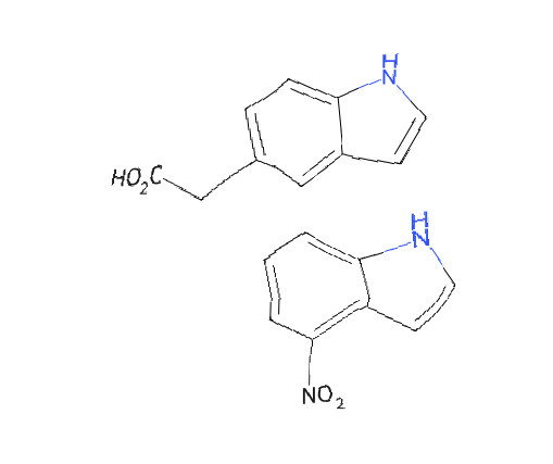 O=C(O)Cc1ccc2[nH]ccc2c1.O=[N+]([O-])c1cccc2[nH]ccc12